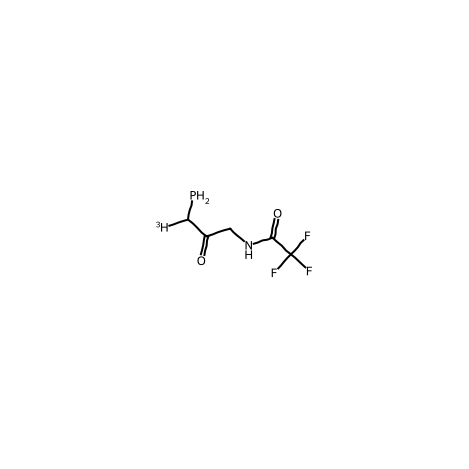 [3H]C(P)C(=O)CNC(=O)C(F)(F)F